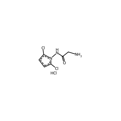 Cl.NCC(=O)Nn1c(Cl)ccc1Cl